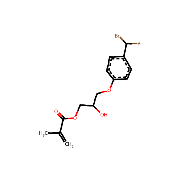 C=C(C)C(=O)OCC(O)COc1ccc(C(Br)Br)cc1